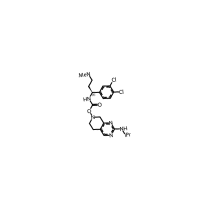 CNCC[C@H](NC(=O)ON1CCc2cnc(NC(C)C)nc2C1)c1ccc(Cl)c(Cl)c1